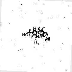 C[C@@H](Nc1nn(C)c(=O)c2c1=CN(C1(CF)CC1)CC=2)c1cccc(C(F)(F)CO)c1F